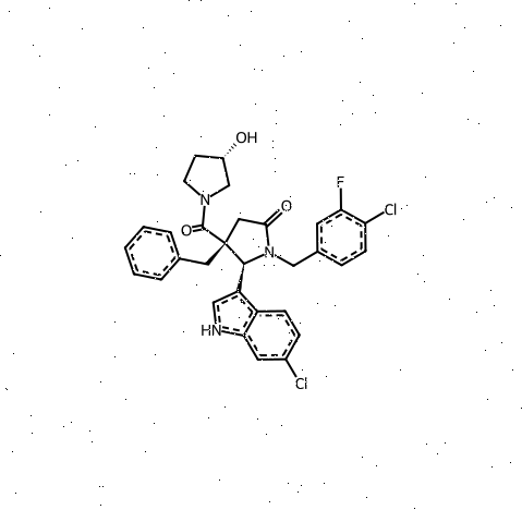 O=C1C[C@@](Cc2ccccc2)(C(=O)N2CC[C@H](O)C2)[C@H](c2c[nH]c3cc(Cl)ccc23)N1Cc1ccc(Cl)c(F)c1